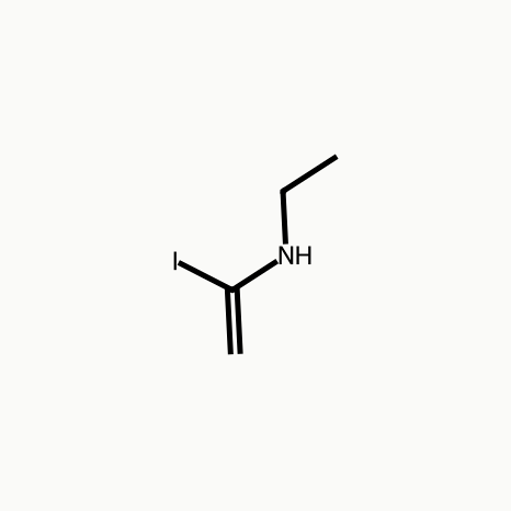 C=C(I)NCC